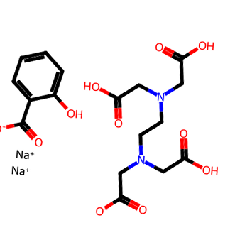 O=C([O-])CN(CCN(CC(=O)O)CC(=O)O)CC(=O)O.O=C([O-])c1ccccc1O.[Na+].[Na+]